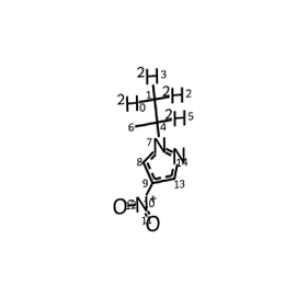 [2H]C([2H])([2H])C([2H])(C)n1cc([N+](=O)[O-])cn1